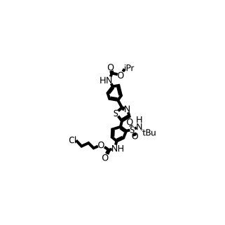 CC(C)OC(=O)Nc1ccc(-c2ncc(-c3ccc(NC(=O)OCCCCl)cc3S(=O)(=O)NC(C)(C)C)s2)cc1